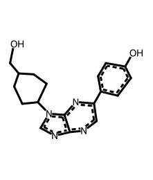 OCC1CCC(n2cnc3ncc(-c4ccc(O)cc4)nc32)CC1